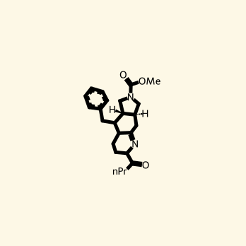 CCCC(=O)C1CCC2C(=N1)C[C@@H]1CN(C(=O)OC)C[C@H]1C2Cc1ccccc1